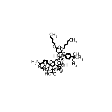 CCCCCOC(=O)C[C@H](NP(=O)(OC[C@@H]1O[C@@](C#N)(c2ccc3c(N)ncnn23)[C@@H](C(C)(C)C(=O)O)[C@@H]1C(C)(C)C(=O)O)Oc1ccc(C(C)(C)C)cc1)C(=O)OCCCCC